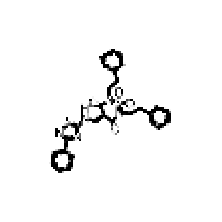 O=C1C(=CNc2nc(-c3ccccc3)ns2)C(=O)N(CCc2ccccc2)S(=O)(=O)N1CCc1ccccc1